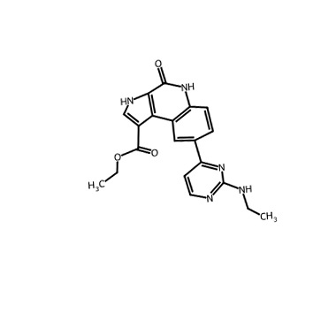 CCNc1nccc(-c2ccc3[nH]c(=O)c4[nH]cc(C(=O)OCC)c4c3c2)n1